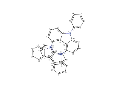 c1ccc(-n2c3cccc(-n4c5ccccc5c5ccccc54)c3c3c(-n4c5ccccc5c5ccccc54)cccc32)cc1